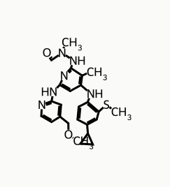 COCc1ccnc(Nc2cc(Nc3ccc(C4CC4)cc3SC)c(C)c(NN(C)C=O)n2)c1